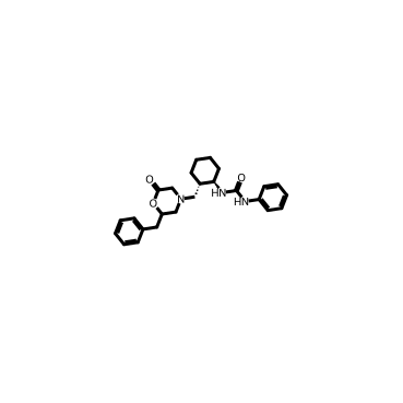 O=C(Nc1ccccc1)N[C@@H]1CCCC[C@H]1CN1CC(=O)OC(Cc2ccccc2)C1